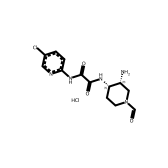 Cl.N[C@@H]1CN(C=O)CC[C@@H]1NC(=O)C(=O)Nc1ccc(Cl)cn1